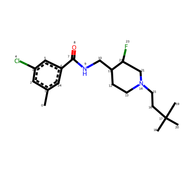 Cc1cc(Cl)cc(C(=O)NCC2CCN(CCC(C)(C)C)CC2F)c1